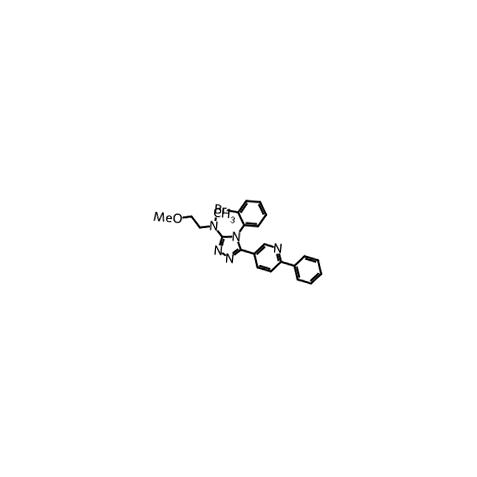 COCCN(C)c1nnc(-c2ccc(-c3ccccc3)nc2)n1-c1ccccc1Br